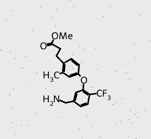 COC(=O)CCc1ccc(Oc2cc(CN)ccc2C(F)(F)F)cc1C